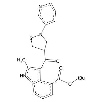 Cc1[nH]c2cccc(C(=O)OC(C)(C)C)c2c1C(=O)C1CSN(c2cccnc2)C1